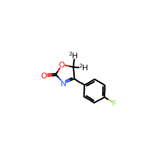 [2H]C1([2H])OC(=O)N=C1c1ccc(F)cc1